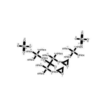 C1CO1.C1CO1.CCCCCC[N+](CCCCCC)(CCCCCC)C(Cl)(Cl)[N+](CCCCCC)(CCCCCC)CCCCCC.CCCCCC[P+](CCCCCC)(CCCCCC)CCCCCC.CCCCCC[P+](CCCCCC)(CCCCCC)CCCCCC.[O]=[Mo](=[O])([O-])[O-].[O]=[Mo](=[O])([O-])[O-]